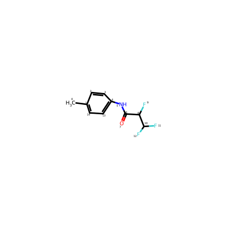 Cc1ccc(NC(=O)C(F)C(F)F)cc1